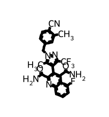 Cc1cc(Cn2nc(C(F)(F)F)c(-c3c(C(N)=O)nc4cccc(F)c4c3C(N)=O)c2C)ccc1C#N